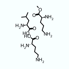 CC(C)C[C@H](N)C(=O)O.COC(=O)[C@@H](N)CCCN.NCCC[C@H](N)C(=O)O